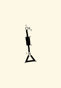 CC#CN1CC1